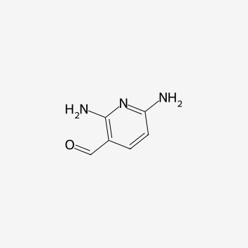 Nc1ccc(C=O)c(N)n1